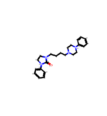 O=C1N(CCCCN2CCN(c3ccccc3)CC2)CCN1c1ccccc1